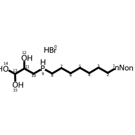 Br.CCCCCCCCCCCCCCCCPCC(O)C(O)O